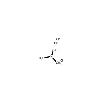 C[N](C)[Ge+3].[Cl-].[Cl-].[Cl-]